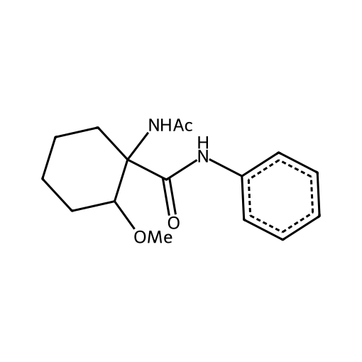 COC1CCCCC1(NC(C)=O)C(=O)Nc1ccccc1